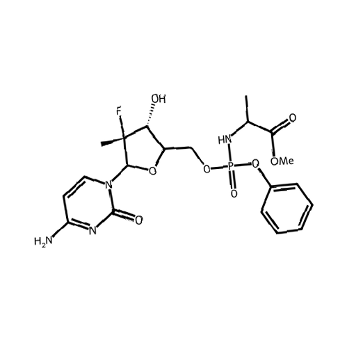 COC(=O)C(C)NP(=O)(OCC1OC(n2ccc(N)nc2=O)[C@](C)(F)[C@@H]1O)Oc1ccccc1